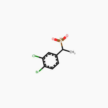 CC(c1ccc(Br)c(Cl)c1)[SH](=O)=O